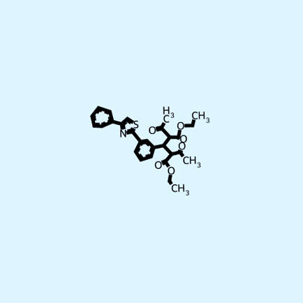 CCOC(=O)C(C(C)=O)C(c1cccc(-c2nc(-c3ccccc3)cs2)c1)C(C(C)=O)C(=O)OCC